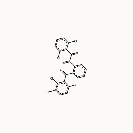 O=C(c1ccccc1[P](=O)C(=O)c1c(Cl)cccc1Cl)c1c(Cl)ccc(Cl)c1Cl